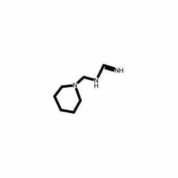 N=CNCN1CCCCC1